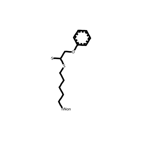 CCCCCCCCCCCCCCSC([S])COc1ccccc1